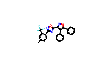 Cc1ccc(-c2noc(-c3noc(-c4ccccc4)c3-c3ccccc3)n2)c(C(F)(F)F)c1